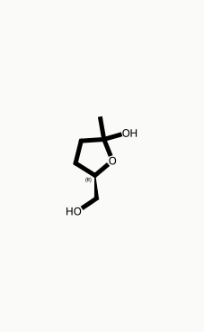 CC1(O)CC[C@H](CO)O1